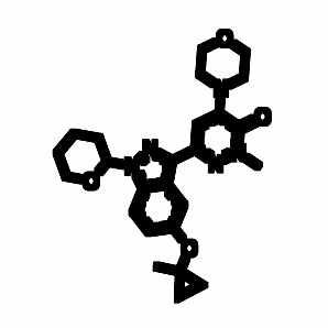 Cn1nc(-c2nn(C3CCCCO3)c3ccc(OC4(C)CC4)cc23)cc(N2CCOCC2)c1=O